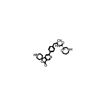 N#C[C@H](Cc1ccc(-c2cc3c(cn2)C(=O)OC32CCNCC2)cc1)NC(=O)[C@@H]1CNCCCO1